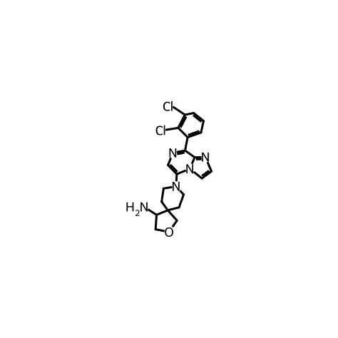 NC1COCC12CCN(c1cnc(-c3cccc(Cl)c3Cl)c3nccn13)CC2